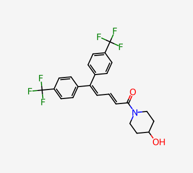 O=C(/C=C/C=C(c1ccc(C(F)(F)F)cc1)c1ccc(C(F)(F)F)cc1)N1CCC(O)CC1